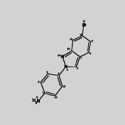 Nc1ccc(-n2cc3ccc(Br)cc3n2)cc1